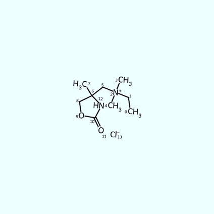 CC[N+](C)(C)CC1(C)COC(=O)N1.[Cl-]